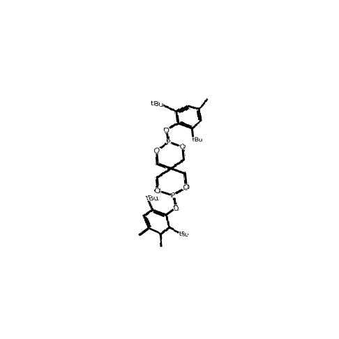 CC1=CC(C(C)(C)C)=C(OP2OCC3(CO2)COP(Oc2c(C(C)(C)C)cc(C)cc2C(C)(C)C)OC3)C(C(C)(C)C)C1C